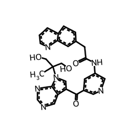 CC(CO)(CO)n1cc(C(=O)c2cncc(NC(=O)Cc3ccc4cccnc4c3)c2)c2cncnc21